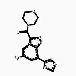 O=C(c1nnc2c(-c3cnco3)cc(C(F)(F)F)cn12)N1CCOCC1